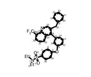 CCN(CC)S(=O)(=O)c1ccc(Oc2cccc(-c3c(Cc4ccccc4)cnc4c(C(F)(F)F)cccc34)c2)cc1